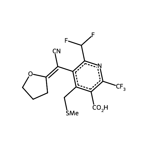 CSCc1c(C(C#N)=C2CCCO2)c(C(F)F)nc(C(F)(F)F)c1C(=O)O